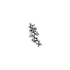 CC(C)(C)Cc1cc(NC(=O)C(C)(C)S(=O)(=O)N2CCC2)on1